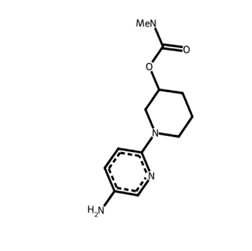 CNC(=O)OC1CCCN(c2ccc(N)cn2)C1